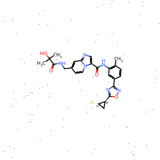 Cc1ccc(-c2noc([C@H]3C[C@@H]3F)n2)cc1NC(=O)c1cnc2cc(CNC(=O)C(C)(C)O)ccn12